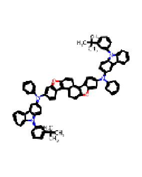 CC(C)(C)c1cccc(-n2c3ccccc3c3cc(N(c4ccccc4)c4ccc5c(c4)oc4ccc6c(ccc7oc8cc(N(c9ccccc9)c9ccc%10c(c9)c9ccccc9n%10-c9cccc(C(C)(C)C)c9)ccc8c76)c45)ccc32)c1